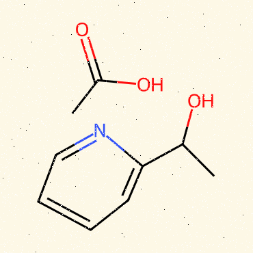 CC(=O)O.CC(O)c1ccccn1